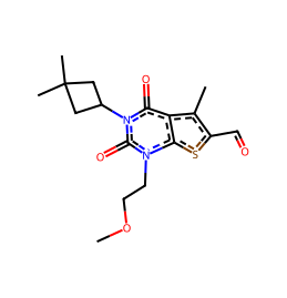 COCCn1c(=O)n(C2CC(C)(C)C2)c(=O)c2c(C)c(C=O)sc21